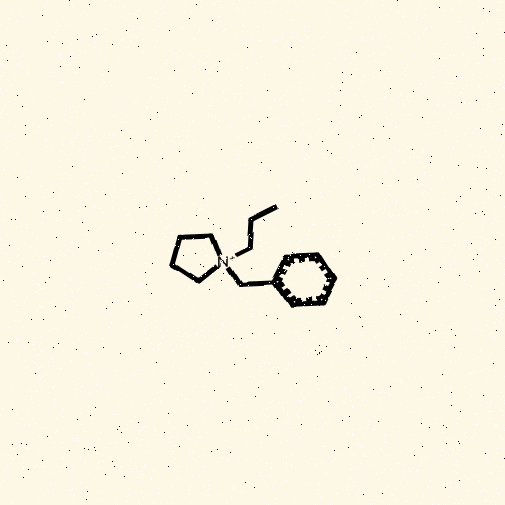 CCC[N+]1(Cc2ccccc2)CCCC1